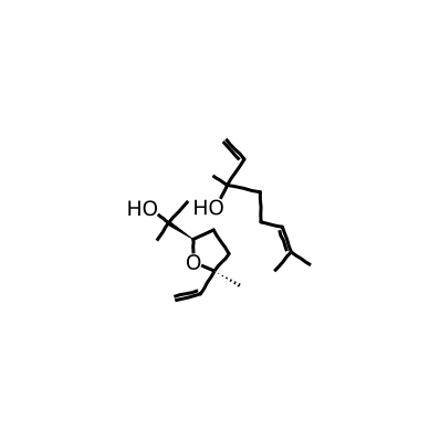 C=CC(C)(O)CCC=C(C)C.C=C[C@]1(C)CC[C@H](C(C)(C)O)O1